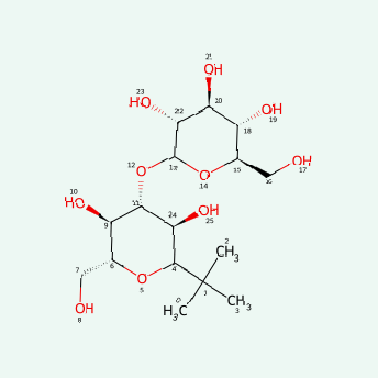 CC(C)(C)C1O[C@H](CO)[C@@H](O)[C@H](OC2O[C@H](CO)[C@@H](O)[C@H](O)[C@H]2O)[C@H]1O